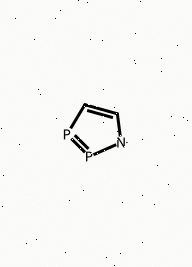 C1=CP=P[N]1